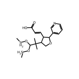 C[SiH2]OC(O[SiH2]C)C(C)(C)C1COC(c2cccnc2)C1/C=C/C(=O)O